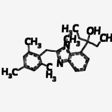 CCC(O)(CC)c1cccc2nc(Cc3c(C)cc(C)cc3C)n(C)c12